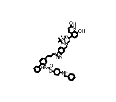 CC(C)(C)[Si](C)(C)O[C@H](CNCc1ccc2c(c1)nnn2C/C=C/c1ccc(-c2ccccc2)c(NC(=O)OC2CCC(NCc3ccccc3)CC2)c1)c1ccc(O)c2[nH]c(=O)ccc12